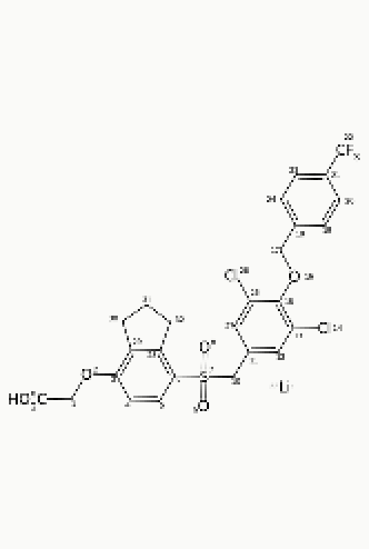 O=C(O)COc1ccc(S(=O)(=O)Cc2cc(Cl)c(OCc3ccc(C(F)(F)F)cc3)c(Cl)c2)c2c1CCC2.[Li]